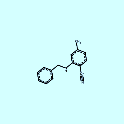 Cc1ccc([N+]#N)c(NCc2ccccc2)c1